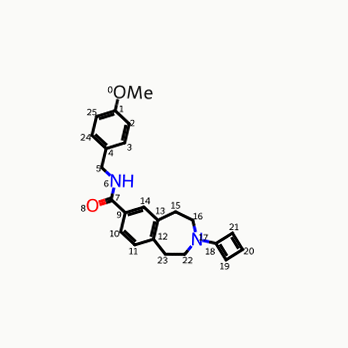 COc1ccc(CNC(=O)c2ccc3c(c2)CCN(C2=CC=C2)CC3)cc1